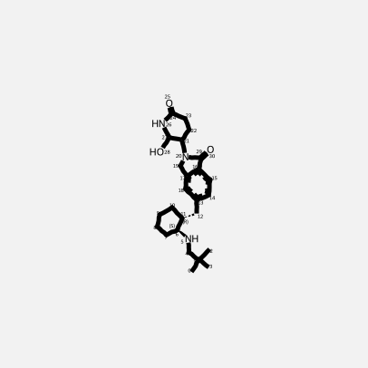 CC(C)(C)CN[C@H]1CCCC[C@@H]1Cc1ccc2c(c1)CN(C1CCC(=O)NC1O)C2=O